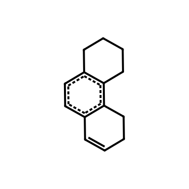 C1=Cc2ccc3c(c2CC1)CCCC3